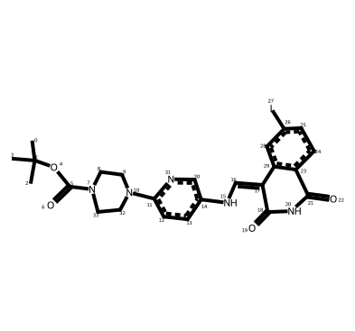 CC(C)(C)OC(=O)N1CCN(c2ccc(NC=C3C(=O)NC(=O)c4ccc(I)cc43)cn2)CC1